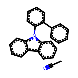 CC#N.c1ccc(-c2ccccc2-n2c3ccccc3c3ccccc32)cc1